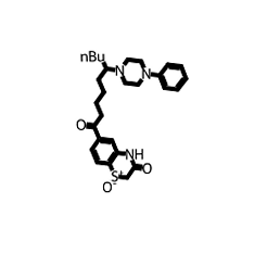 CCCCC(CCCCC(=O)c1ccc2c(c1)NC(=O)C[S+]2[O-])N1CCN(c2ccccc2)CC1